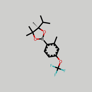 Cc1cc(OC(F)(F)F)ccc1B1OC(C)(C)[C@@](C)(C(C)C)O1